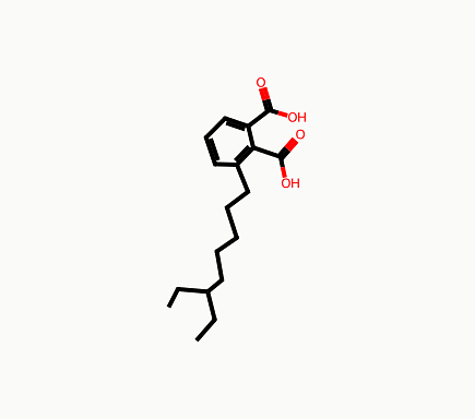 CCC(CC)CCCCCc1cccc(C(=O)O)c1C(=O)O